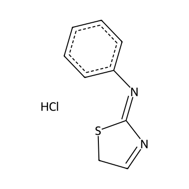 C1=NC(=Nc2ccccc2)SC1.Cl